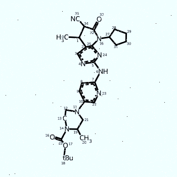 CC1c2cnc(Nc3ccc(N4CCN(C(=O)OC(C)(C)C)C(C)C4)cn3)nc2N(C2CCCC2)C(=O)C1C#N